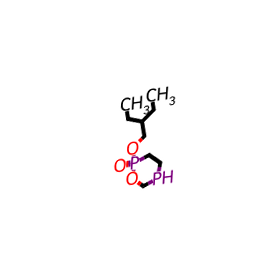 CCC(CC)COP1(=O)CCPCO1